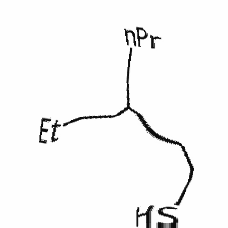 CCCC(CC)CS